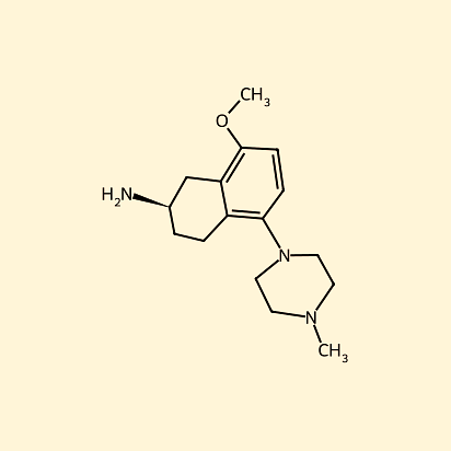 COc1ccc(N2CCN(C)CC2)c2c1C[C@H](N)CC2